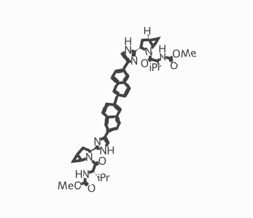 COC(=O)N[C@H](C(=O)N1C2CC2C[C@H]1c1nc(-c2ccc3cc(-c4ccc5cc(-c6c[nH]c([C@@H]7C[C@H]8CC8N7C(=O)[C@@H](NC(=O)OC)C(C)C)n6)ccc5c4)ccc3c2)c[nH]1)C(C)C